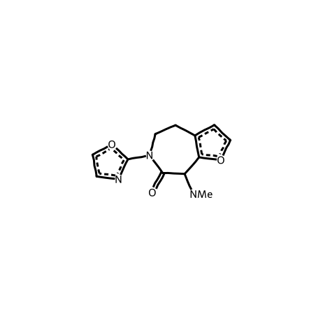 CNC1C(=O)N(c2ncco2)CCc2ccoc21